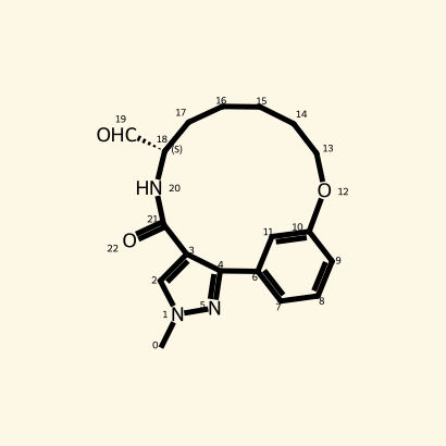 Cn1cc2c(n1)-c1cccc(c1)OCCCCC[C@@H](C=O)NC2=O